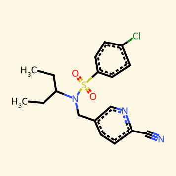 CCC(CC)N(Cc1ccc(C#N)nc1)S(=O)(=O)c1ccc(Cl)cc1